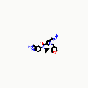 [N-]=[N+]=NCc1cc(C(=O)N(C2CC2)C2CCc3n[nH]cc3C2)cn1CC1CCOCC1